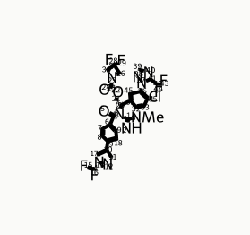 CNC(=N)N(C(=O)c1ccc(-c2cnn(C(F)F)c2)cc1)[C@H](COC(=O)N1CC(F)(F)C1)c1ccc(Cl)c(-n2ncnc2C(F)F)c1